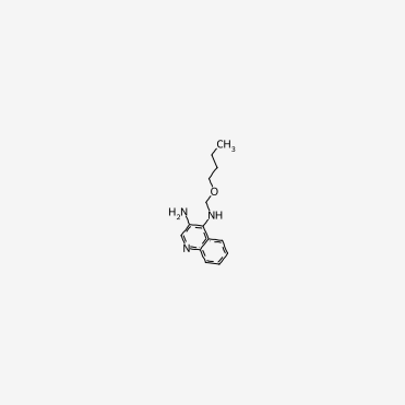 CCCCOCNc1c(N)cnc2ccccc12